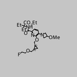 CCOC(=O)C(CC)(CC)NC(=O)c1ccc(N2CC(OC)C2)c(OC[C@H]2C[C@H]2COCCF)n1